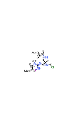 CCN(/C(=N/CC(C)(CN[C@H](C)[C@@H](C)OC)NCCl)NI)[C@H](C)COC